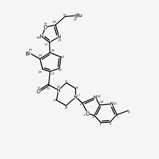 Cc1ccc2oc(N3CCN(C(=O)c4ccc(-c5noc(CC(C)(C)C)n5)c(Br)c4)CC3)nc2n1